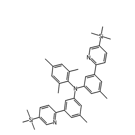 Cc1cc(-c2ccc([Si](C)(C)C)cn2)cc(N(c2cc(C)cc(-c3ccc([Si](C)(C)C)cn3)c2)c2c(C)cc(C)cc2C)c1